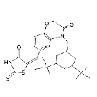 CC(C)(C)C1CC(CN2C(=O)COc3ccc(C=C4SC(=S)NC4=O)cc32)CC(C(C)(C)C)C1